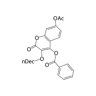 CCCCCCCCCCOc1c(OC(=O)c2ccccc2)c2ccc(OC(C)=O)cc2oc1=O